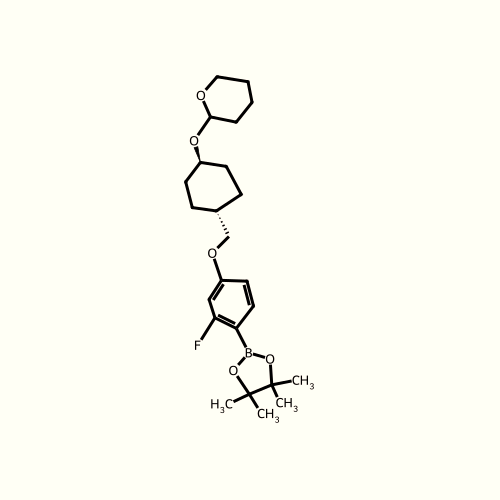 CC1(C)OB(c2ccc(OC[C@H]3CC[C@H](OC4CCCCO4)CC3)cc2F)OC1(C)C